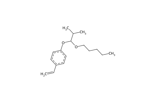 C=Cc1ccc(OC(OCCCCC)C(C)C)cc1